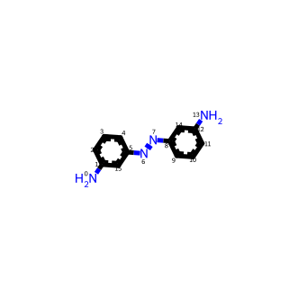 Nc1cccc(/N=N/c2cccc(N)c2)c1